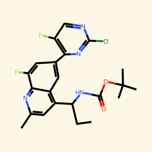 CCC(NC(=O)OC(C)(C)C)c1cc(C)nc2c(F)cc(-c3nc(Cl)ncc3F)cc12